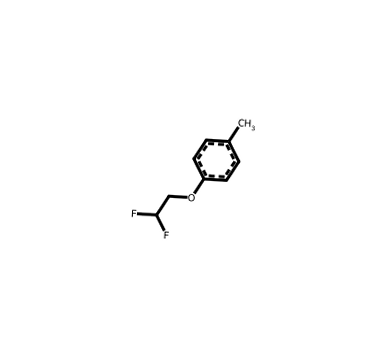 Cc1ccc(OCC(F)F)cc1